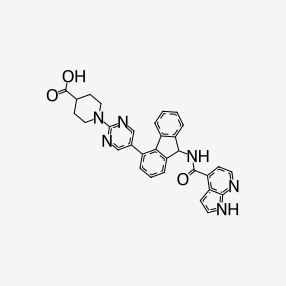 O=C(NC1c2ccccc2-c2c(-c3cnc(N4CCC(C(=O)O)CC4)nc3)cccc21)c1ccnc2[nH]ccc12